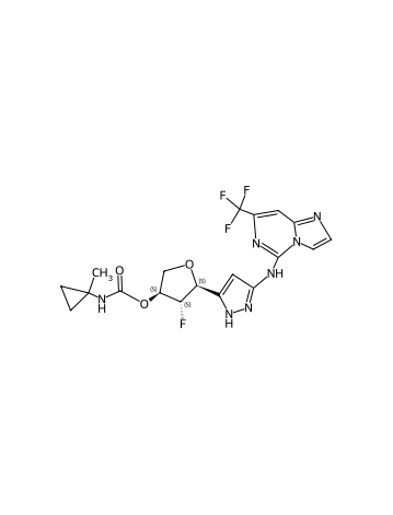 CC1(NC(=O)O[C@H]2CO[C@@H](c3cc(Nc4nc(C(F)(F)F)cc5nccn45)n[nH]3)[C@@H]2F)CC1